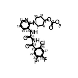 COC(=O)OC1CCN(c2ncccc2NC(=O)NC(=O)c2cc(F)c(F)cc2Cl)CC1